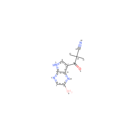 Bc1cnc2[nH]cc(C(=O)C(C)(C)C#N)c2n1